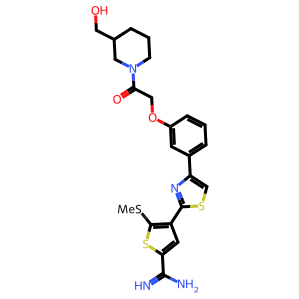 CSc1sc(C(=N)N)cc1-c1nc(-c2cccc(OCC(=O)N3CCCC(CO)C3)c2)cs1